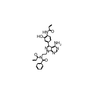 C=CC(=O)Nc1ccc(-c2nn(CCN(C(=O)C=C)C(=O)c3ccccc3)c3ncnc(N)c23)cc1O